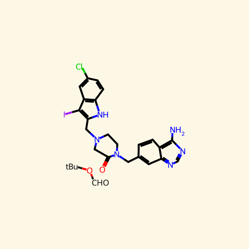 CC(C)(C)OC=O.Nc1ncnc2cc(CN3CCN(Cc4[nH]c5ccc(Cl)cc5c4I)CC3=O)ccc12